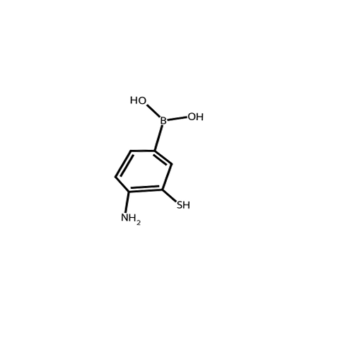 Nc1ccc(B(O)O)cc1S